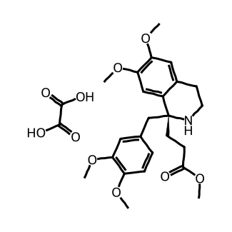 COC(=O)CC[C@]1(Cc2ccc(OC)c(OC)c2)NCCc2cc(OC)c(OC)cc21.O=C(O)C(=O)O